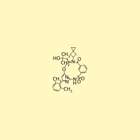 Cc1cccc(C)c1-c1cc2nc(n1)NS(=O)(=O)c1cccc(c1)C(=O)N(C1CC3(CC3)C1)[C@H](CC(C)(C)O)CO2